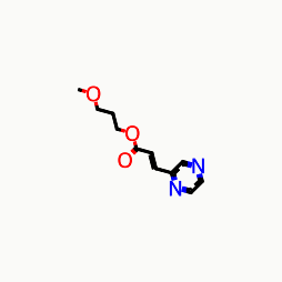 COCCCOC(=O)/C=C/c1cnccn1